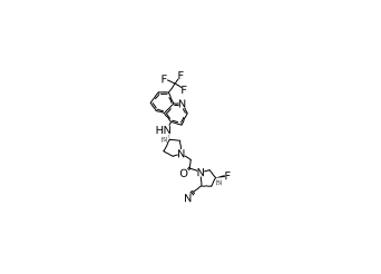 N#CC1C[C@H](F)CN1C(=O)CN1CC[C@H](Nc2ccnc3c(C(F)(F)F)cccc23)C1